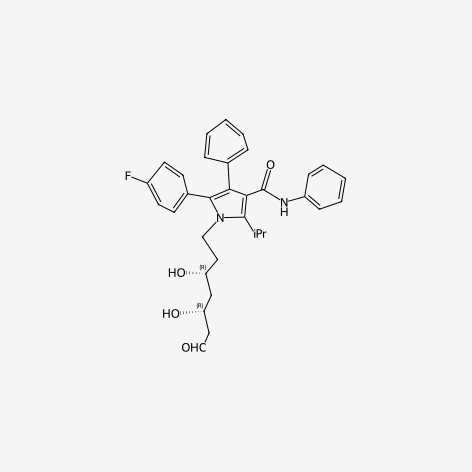 CC(C)c1c(C(=O)Nc2ccccc2)c(-c2ccccc2)c(-c2ccc(F)cc2)n1CC[C@@H](O)C[C@@H](O)CC=O